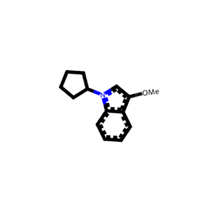 COc1cn(C2CCCC2)c2ccccc12